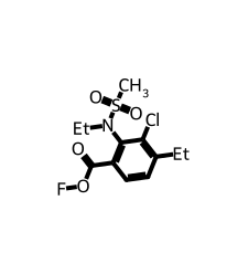 CCc1ccc(C(=O)OF)c(N(CC)S(C)(=O)=O)c1Cl